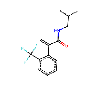 C=C(C(=O)NCC(C)C)c1ccccc1C(F)(F)F